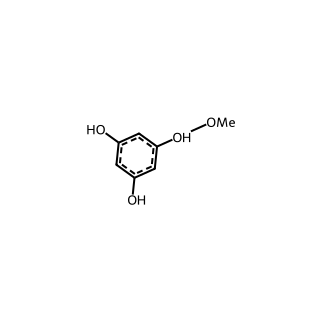 COC.Oc1cc(O)cc(O)c1